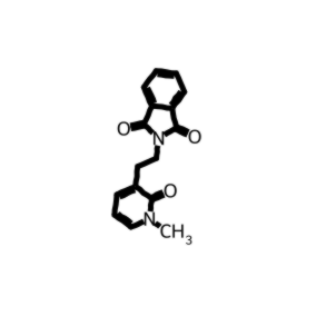 Cn1cccc(CCN2C(=O)c3ccccc3C2=O)c1=O